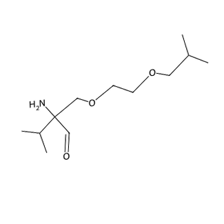 CC(C)COCCOCC(N)(C=O)C(C)C